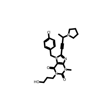 CC(C#Cc1nc2c(c(=O)n(CCCO)c(=O)n2C)n1Cc1ccc(Cl)cc1)N1CCCC1